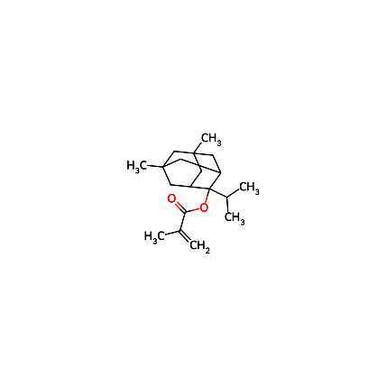 C=C(C)C(=O)OC1(C(C)C)C2CC3(C)CC1CC(C)(C2)C3